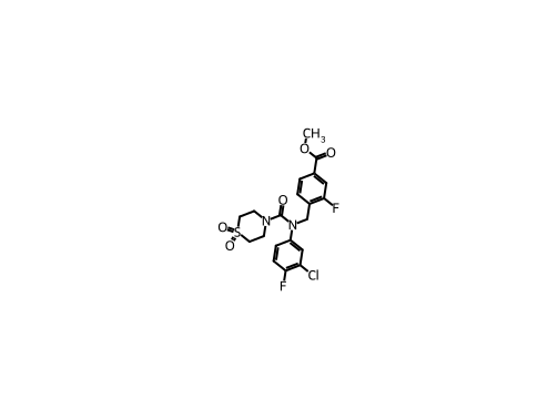 COC(=O)c1ccc(CN(C(=O)N2CCS(=O)(=O)CC2)c2ccc(F)c(Cl)c2)c(F)c1